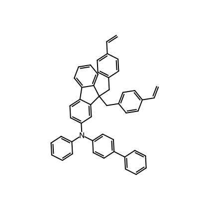 C=Cc1ccc(CC2(Cc3ccc(C=C)cc3)c3ccccc3-c3ccc(N(c4ccccc4)c4ccc(-c5ccccc5)cc4)cc32)cc1